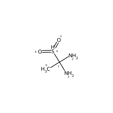 CC(N)(N)[SH](=O)=O